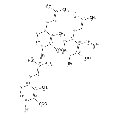 CC(C)=CCC(CC(C)C)C(C)=C(CC(C)C)C(=O)[O-].CC(C)=CCC(CC(C)C)C(C)=C(CC(C)C)C(=O)[O-].CC(C)=CCC(CC(C)C)C(C)=C(CC(C)C)C(=O)[O-].[Al+3]